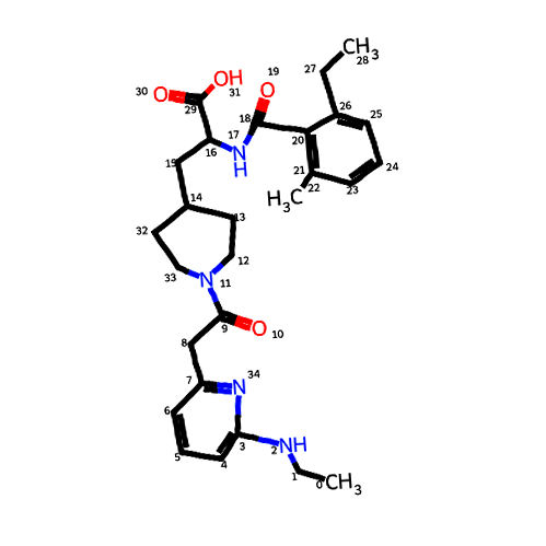 CCNc1cccc(CC(=O)N2CCC(CC(NC(=O)c3c(C)cccc3CC)C(=O)O)CC2)n1